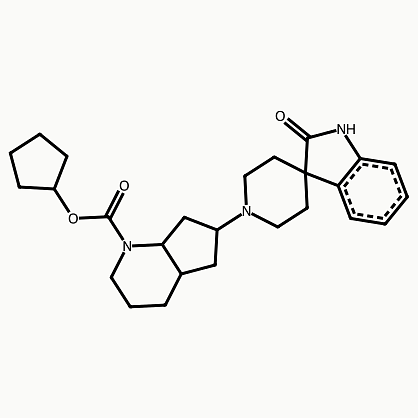 O=C(OC1CCCC1)N1CCCC2CC(N3CCC4(CC3)C(=O)Nc3ccccc34)CC21